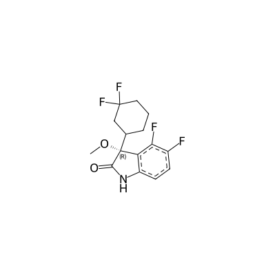 CO[C@@]1(C2CCCC(F)(F)C2)C(=O)Nc2ccc(F)c(F)c21